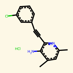 Cc1cc(C)c(N)c(C#Cc2cccc(Cl)c2)n1.Cl